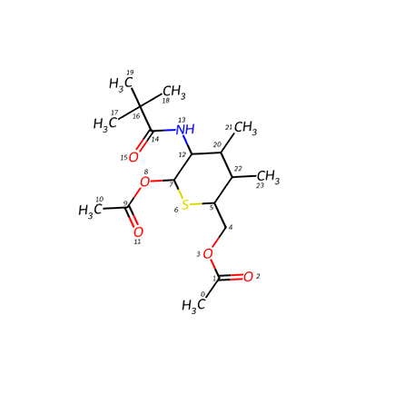 CC(=O)OCC1SC(OC(C)=O)C(NC(=O)C(C)(C)C)C(C)C1C